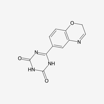 O=c1nc(-c2ccc3c(c2)N=CCO3)[nH]c(=O)[nH]1